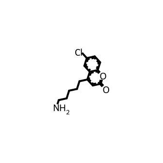 NCCCCCc1cc(=O)oc2ccc(Cl)cc12